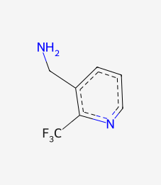 NCc1cccnc1C(F)(F)F